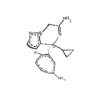 NC1=N[C@@](c2cc(N)ccc2F)(C2CC2)c2ccnn2C1